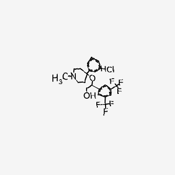 CN1CCC(OC(CO)c2cc(C(F)(F)F)cc(C(F)(F)F)c2)(c2ccccc2)CC1.Cl